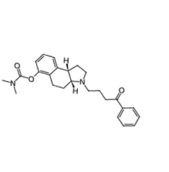 CN(C)C(=O)Oc1cccc2c1CC[C@@H]1[C@H]2CCN1CCCC(=O)c1ccccc1